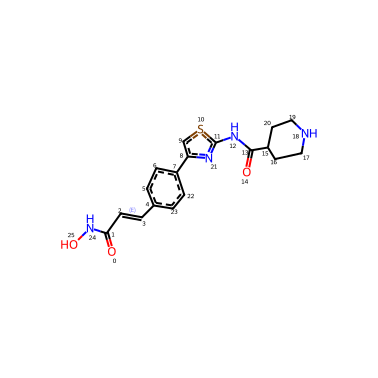 O=C(/C=C/c1ccc(-c2csc(NC(=O)C3CCNCC3)n2)cc1)NO